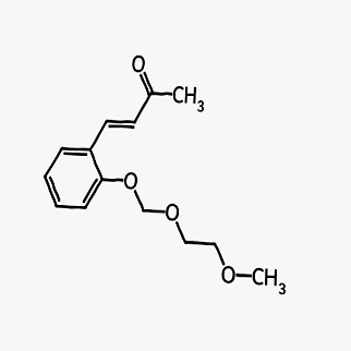 COCCOCOc1ccccc1/C=C/C(C)=O